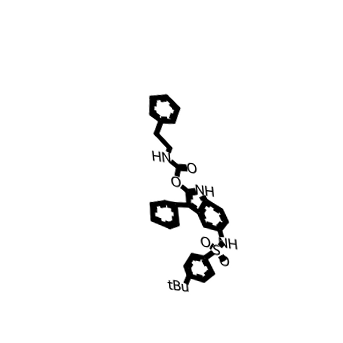 CC(C)(C)c1ccc(S(=O)(=O)Nc2ccc3[nH]c(OC(=O)NCCc4ccccc4)c(-c4ccccc4)c3c2)cc1